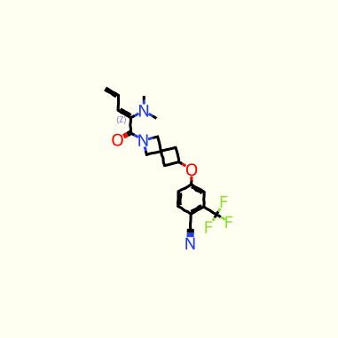 C=C/C=C(/C(=O)N1CC2(CC(Oc3ccc(C#N)c(C(F)(F)F)c3)C2)C1)N(C)C